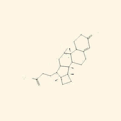 COC(=O)CC[C@]1(O)[C@H]2CC[C@H]2[C@H]2[C@@H]3CCC4=CC(=O)CC[C@]4(C)[C@]34O[C@@H]4C[C@@]21C